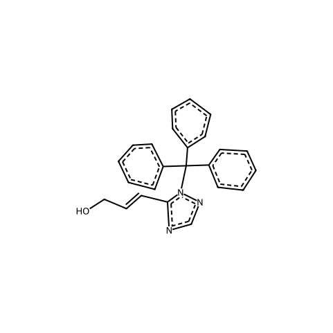 OCC=Cc1ncnn1C(c1ccccc1)(c1ccccc1)c1ccccc1